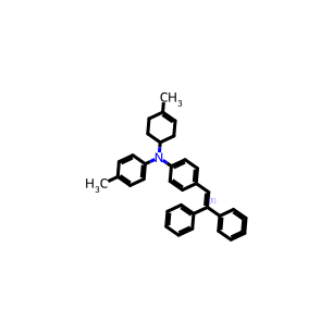 CC1=CCC(N(c2ccc(C)cc2)c2ccc(/C=C(/C3=CC=C=C=C3)c3ccccc3)cc2)CC1